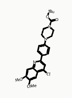 COc1cc2nc(-c3ccc(N4CCN(C(=O)OC(C)(C)C)CC4)cc3)cc(Cl)c2cc1OC